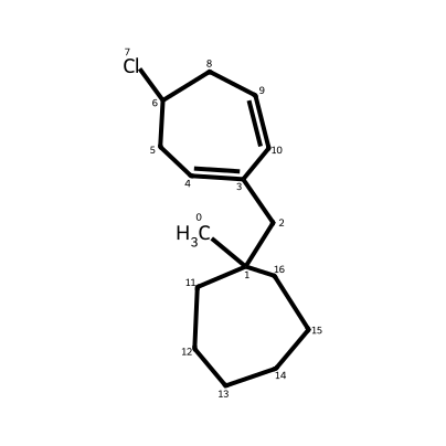 CC1(CC2=CCC(Cl)CC=C2)CCCCCC1